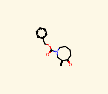 C=C1CN(C(=O)OCc2ccccc2)CCCCC1=O